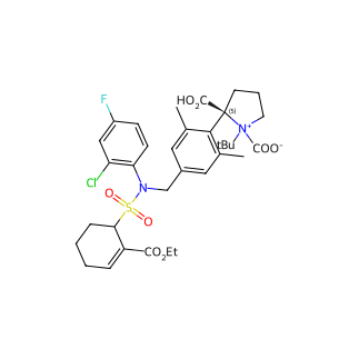 CCOC(=O)C1=CCCCC1S(=O)(=O)N(Cc1cc(C)c([C@]2(C(=O)O)CCC[N+]2(C(=O)[O-])C(C)(C)C)c(C)c1)c1ccc(F)cc1Cl